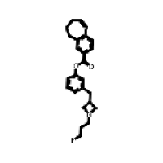 O=C(Oc1cccc(CC2CN(CCCF)C2)c1)c1ccc2c(c1)CCCC=C2